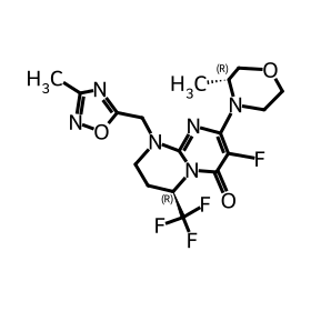 Cc1noc(CN2CC[C@H](C(F)(F)F)n3c2nc(N2CCOC[C@H]2C)c(F)c3=O)n1